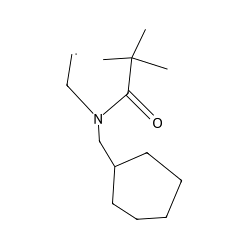 [CH2]CN(CC1CCCCC1)C(=O)C(C)(C)C